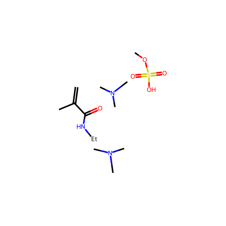 C=C(C)C(=O)NCC.CN(C)C.CN(C)C.COS(=O)(=O)O